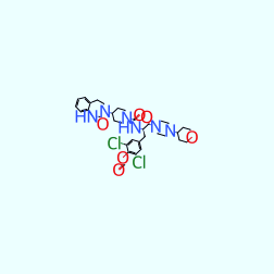 O=COc1c(Cl)cc(C[C@@H](NC(=O)N2CCC(N3CCc4ccccc4NC3=O)CC2)C(=O)N2CCN(C3CCOCC3)CC2)cc1Cl